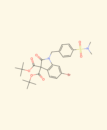 CN(C)S(=O)(=O)c1ccc(CN2C(=O)C(C(=O)OC(C)(C)C)(C(=O)OC(C)(C)C)c3ccc(Br)cc32)cc1